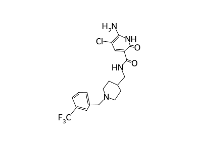 Nc1[nH]c(=O)c(C(=O)NCC2CCN(Cc3cccc(C(F)(F)F)c3)CC2)cc1Cl